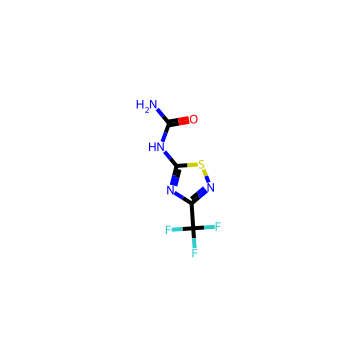 NC(=O)Nc1nc(C(F)(F)F)ns1